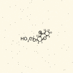 O=C(O)COc1ccc2oc3ccccc3c(=O)c2c1